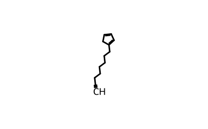 C#CCCCCCCC1=CC=CC1